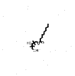 CCCCCCCCCC(=O)N(C)CC(C)(C)C(O)C(C)(C)CO